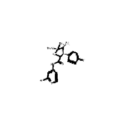 CC(=O)c1cc(NC(=O)C2O[C@@](C)(C(F)(F)F)[C@@H](C)[C@H]2c2ccc(F)cc2)ccn1